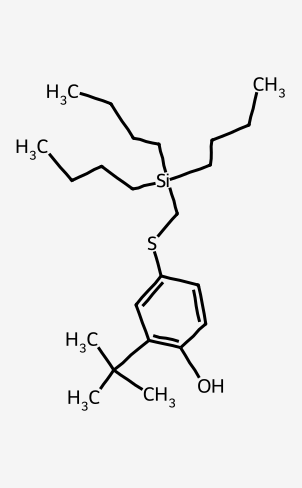 CCCC[Si](CCCC)(CCCC)CSc1ccc(O)c(C(C)(C)C)c1